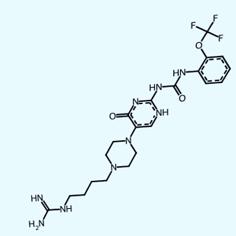 N=C(N)NCCCCN1CCN(c2c[nH]c(NC(=O)Nc3ccccc3OC(F)(F)F)nc2=O)CC1